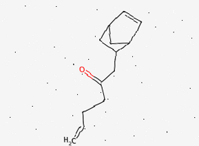 C=CCCC(=O)CC1CC2C=CC1C2